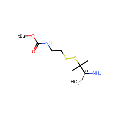 CC(C)(C)OC(=O)NCCSSC(C)(C)[C@H](N)C(=O)O